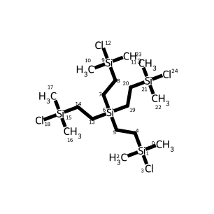 C[Si](C)(Cl)CC[Si](CC[Si](C)(C)Cl)(CC[Si](C)(C)Cl)CC[Si](C)(C)Cl